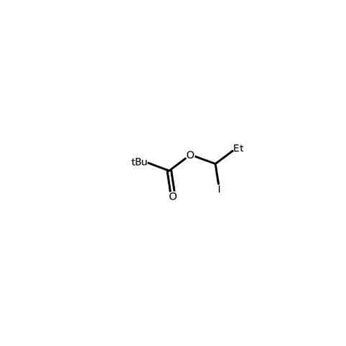 CCC(I)OC(=O)C(C)(C)C